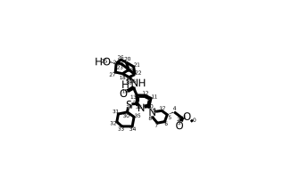 COC(=O)C[C@@H]1CCCN(c2ccc(C(=O)N[C@H]3C4CC5CC3C[C@](O)(C5)C4)c(SC3CCCCC3)n2)C1